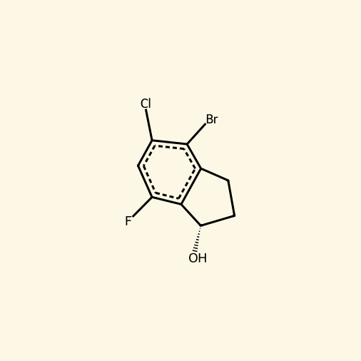 O[C@H]1CCc2c(Br)c(Cl)cc(F)c21